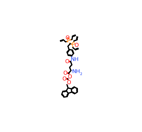 C=CCP(=O)(CC=C)C(Cc1ccc(NC(=O)CC[C@H](N)C(=O)OC(=O)OCC2c3ccccc3-c3ccccc32)cc1)P(=O)(CC=C)CC=C